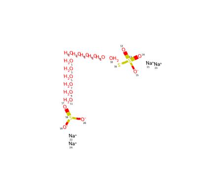 O.O.O.O.O.O.O.O.O.O.O.O.O=S(=O)([O-])[S-].O=S([O-])[O-].[Na+].[Na+].[Na+].[Na+]